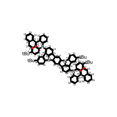 CC(C)(C)c1ccc(N(c2ccccc2-c2cccc3ccccc23)c2ccc3c4cc5c(cc4n4c6ccc(C(C)(C)C)cc6c2c34)c2ccc(N(c3ccc(C(C)(C)C)cc3)c3ccccc3-c3cccc4ccccc34)c3c4cc(C(C)(C)C)ccc4n5c23)cc1